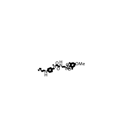 COc1cc(C)c(S(=O)(=O)N(C)CCNC(=O)C(=O)N(C)Cc2ccc(NCCN(C)C)cc2)c(C)c1